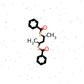 C[C@H](C[C@H](C)SC(=O)c1ccccc1)SC(=O)c1ccccc1